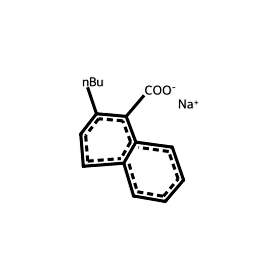 CCCCc1ccc2ccccc2c1C(=O)[O-].[Na+]